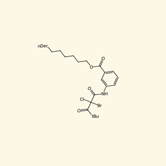 CCCCCCCCCCCCCCCCOC(=O)c1cccc(NC(=O)C(Cl)(Br)C(=O)C(C)(C)C)c1